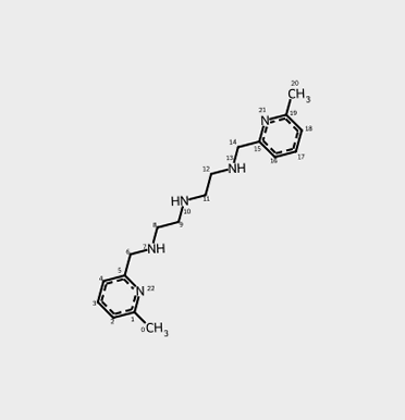 Cc1cccc(CNCCNCCNCc2cccc(C)n2)n1